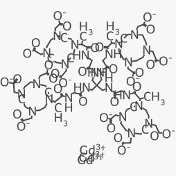 CC(C(=O)NCC(=O)NCC(CNC(=O)CNC(=O)C(C)N1CCN(CC(=O)[O-])CCN(CC(=O)[O-])CCN(CC(=O)[O-])CC1)(CNC(=O)CNC(=O)C(C)N1CCN(CC(=O)[O-])CCN(CC(=O)[O-])CCN(CC(=O)[O-])CC1)CNC(=O)CNC(=O)C(C)N1CCN(CC(=O)[O-])CCN(CC(=O)[O-])CCN(CC(=O)[O-])CC1)N1CCN(CC(=O)[O-])CCN(CC(=O)[O-])CCN(CC(=O)[O-])CC1.[Gd+3].[Gd+3].[Gd+3]